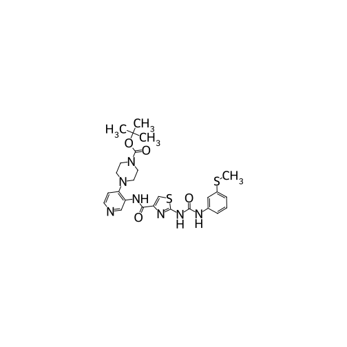 CSc1cccc(NC(=O)Nc2nc(C(=O)Nc3cnccc3N3CCN(C(=O)OC(C)(C)C)CC3)cs2)c1